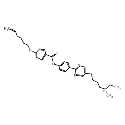 C=CCCCCOc1ccc(C(=O)Oc2ccc(-c3ncc(CCCC[C@@H](C)CC)cn3)cc2)cc1